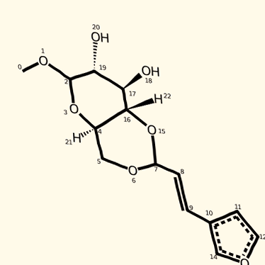 COC1O[C@@H]2COC(C=Cc3ccoc3)O[C@H]2[C@H](O)[C@H]1O